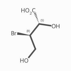 O=C(O)[C@H](O)[C@H](Br)CO